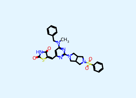 CN(Cc1ccccc1)c1cc(C=C2SC(=O)NC2=O)nc(N2CC3CN(S(=O)(=O)c4ccccc4)CC3C2)n1